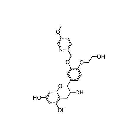 COc1ccc(COc2cc(C3Oc4cc(O)cc(O)c4CC3O)ccc2OCCO)nc1